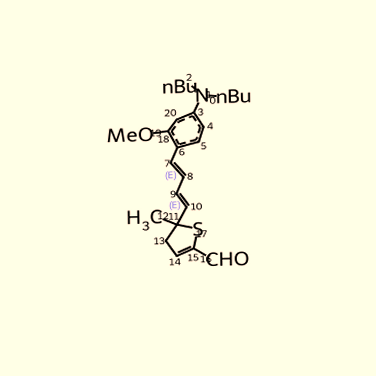 CCCCN(CCCC)c1ccc(/C=C/C=C/C2(C)CC=C(C=O)S2)c(OC)c1